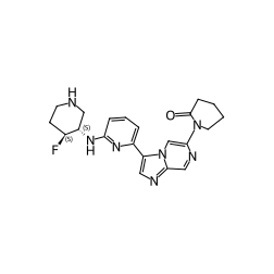 O=C1CCCCN1c1cn2c(-c3cccc(N[C@H]4CNCC[C@@H]4F)n3)cnc2cn1